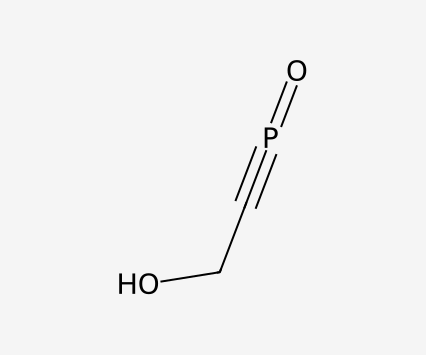 O=P#CCO